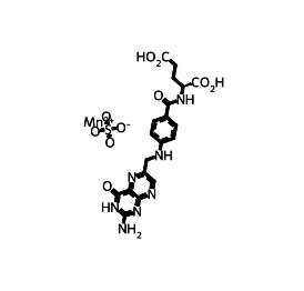 Nc1nc2ncc(CNc3ccc(C(=O)N[C@@H](CCC(=O)O)C(=O)O)cc3)nc2c(=O)[nH]1.O=S(=O)([O-])[O-].[Mn+2]